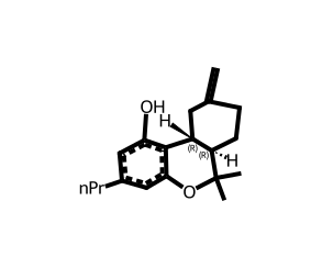 C=C1CC[C@@H]2[C@@H](C1)c1c(O)cc(CCC)cc1OC2(C)C